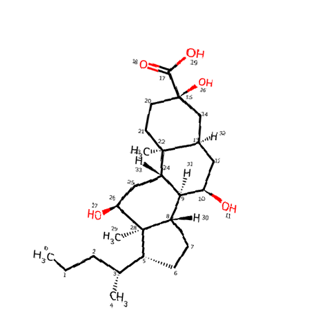 CCC[C@@H](C)[C@H]1CC[C@H]2[C@@H]3[C@H](O)C[C@@H]4C[C@@](O)(C(=O)O)CC[C@]4(C)[C@H]3C[C@H](O)[C@]12C